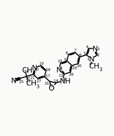 Cn1cncc1-c1ccc2cnc(NC3OC3c3ccnc(C(C)(C)C#N)c3)cc2c1